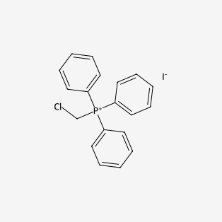 ClC[P+](c1ccccc1)(c1ccccc1)c1ccccc1.[I-]